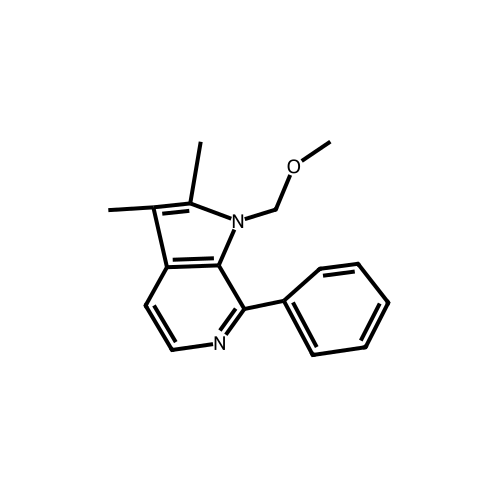 COCn1c(C)c(C)c2ccnc(-c3ccccc3)c21